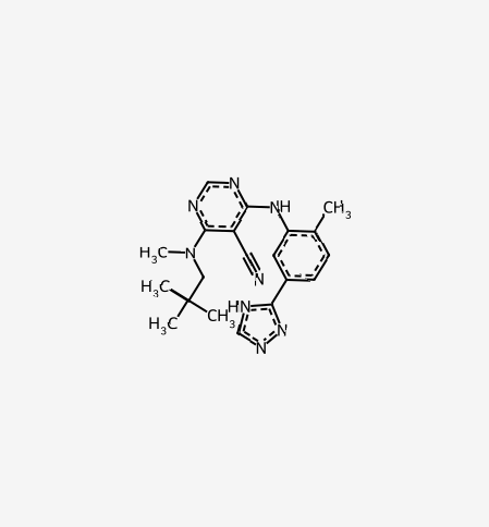 Cc1ccc(-c2nnc[nH]2)cc1Nc1ncnc(N(C)CC(C)(C)C)c1C#N